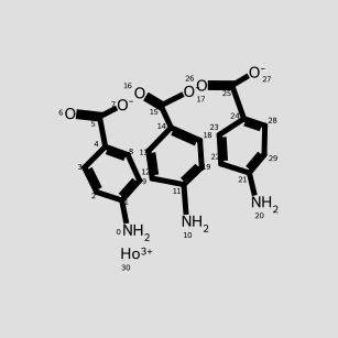 Nc1ccc(C(=O)[O-])cc1.Nc1ccc(C(=O)[O-])cc1.Nc1ccc(C(=O)[O-])cc1.[Ho+3]